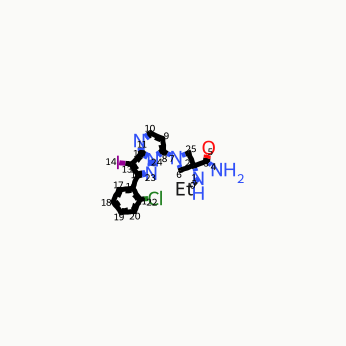 CCNC1(C(N)=O)CN(c2ccnc3c(I)c(-c4ccccc4Cl)nn23)C1